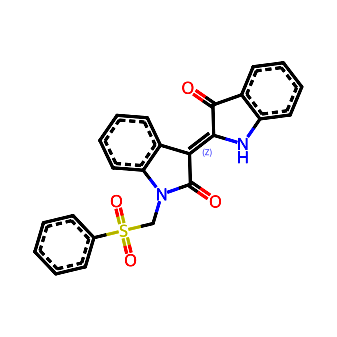 O=C1/C(=C2/C(=O)N(CS(=O)(=O)c3ccccc3)c3ccccc32)Nc2ccccc21